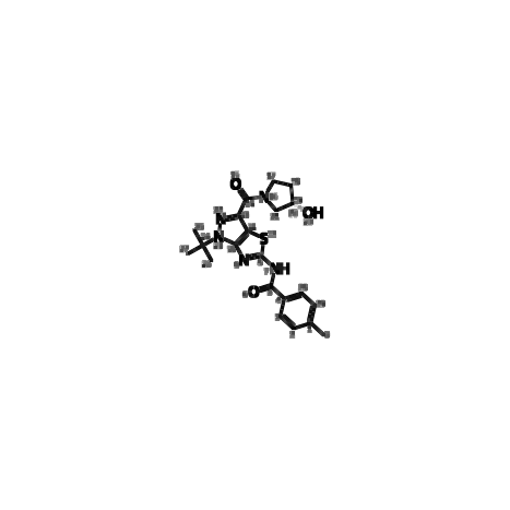 Cc1ccc(C(=O)Nc2nc3c(s2)c(C(=O)N2CC[C@H](O)C2)nn3C(C)(C)C)cc1